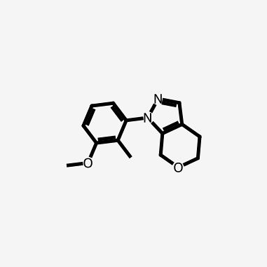 COc1cccc(-n2ncc3c2COCC3)c1C